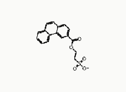 O=C(OCCS(=O)(=O)O)c1ccc2ccc3ccccc3c2c1